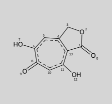 O=C1OCc2cc(O)c(=O)cc(O)c21